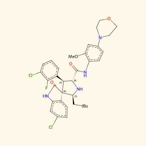 COc1cc(N2CCOCC2)ccc1NC(=O)[C@@H]1N[C@@H](CC(C)(C)C)[C@@]2(C(=O)Nc3cc(Cl)ccc32)[C@H]1c1cccc(Cl)c1F